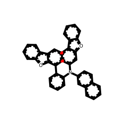 c1ccc(N(c2ccc3ccccc3c2)c2ccc3c(c2)oc2ccccc23)c(-c2cccc3c2oc2ccccc23)c1